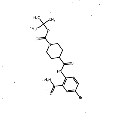 CC(C)(C)OC(=O)N1CCC(C(=O)Nc2ccc(Br)cc2C(N)=O)CC1